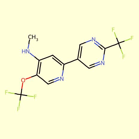 CNc1cc(-c2cnc(C(F)(F)F)nc2)ncc1OC(F)(F)F